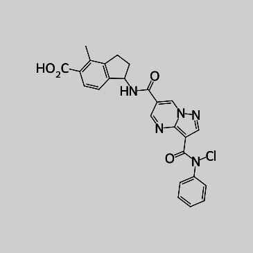 Cc1c(C(=O)O)ccc2c1CCC2NC(=O)c1cnc2c(C(=O)N(Cl)c3ccccc3)cnn2c1